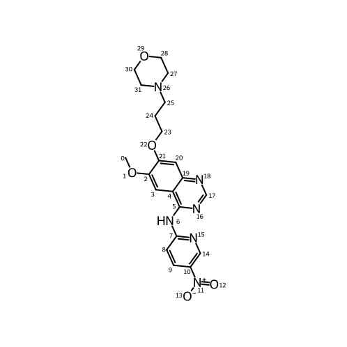 COc1cc2c(Nc3ccc([N+](=O)[O-])cn3)ncnc2cc1OCCCN1CCOCC1